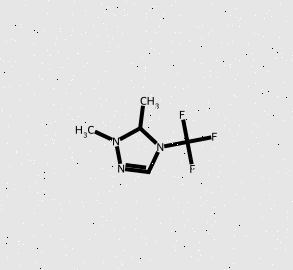 CC1N(C)N=CN1C(F)(F)F